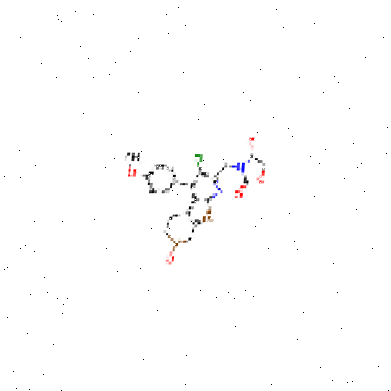 COc1ccc(-c2c(Cl)c(CN3C(=O)COC3=O)nc3sc4c(c23)CC[S+]([O-])C4)cc1